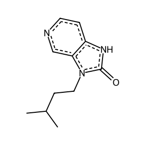 CC(C)CCn1c(=O)[nH]c2ccncc21